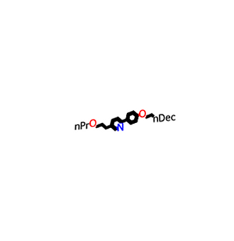 CCCCCCCCCCCCOc1ccc(-c2ccc(CCCOCCC)cn2)cc1